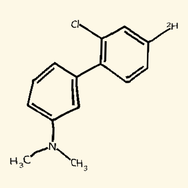 [2H]c1ccc(-c2cccc(N(C)C)c2)c(Cl)c1